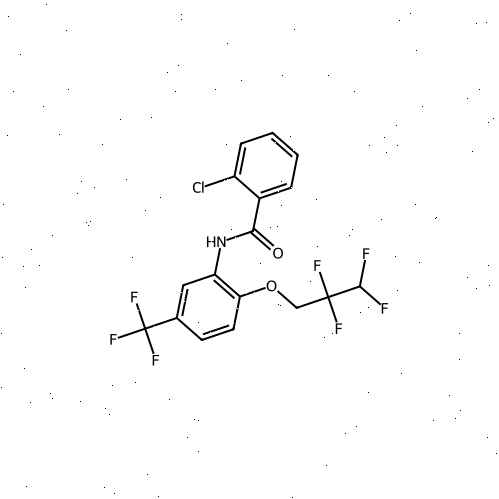 O=C(Nc1cc(C(F)(F)F)ccc1OCC(F)(F)C(F)F)c1ccccc1Cl